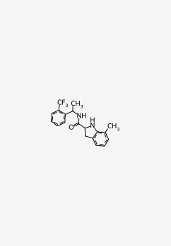 Cc1cccc2c1NC(C(=O)NC(C)c1ccccc1C(F)(F)F)C2